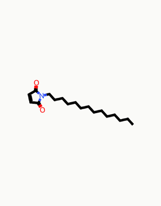 CCCCCCCCCCCCCCN1C(=O)C=CC1=O